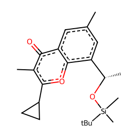 Cc1cc([C@H](C)O[Si](C)(C)C(C)(C)C)c2oc(C3CC3)c(C)c(=O)c2c1